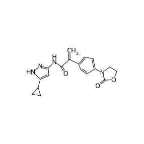 C=C(C(=O)Nc1cc(C2CC2)[nH]n1)c1ccc(N2CCOC2=O)cc1